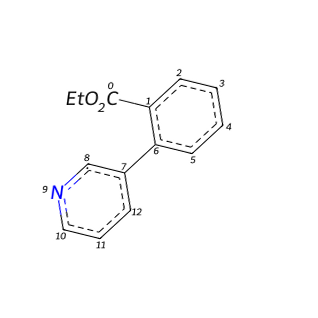 CCOC(=O)c1ccccc1-c1[c]nccc1